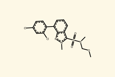 COCN(C)S(=O)(=O)c1c2cccc(-c3ccc(Cl)cc3Cl)c2nn1C